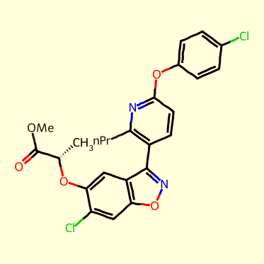 CCCc1nc(Oc2ccc(Cl)cc2)ccc1-c1noc2cc(Cl)c(O[C@@H](C)C(=O)OC)cc12